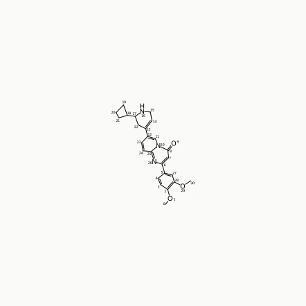 COc1ccc(-c2cc(=O)n3cc(C4=CCNC(C5CCC5)C4)ccc3n2)cc1OC